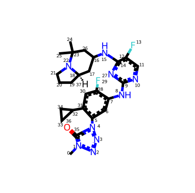 Cn1nnn(-c2cc(Nc3ncc(F)c(NC4C[C@H]5CCCN5C(C)(C)C4)n3)c(F)cc2C2CC2)c1=O